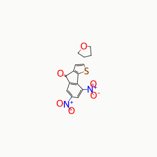 C1CCOC1.O=C1c2ccsc2-c2c1cc([N+](=O)[O-])cc2[N+](=O)[O-]